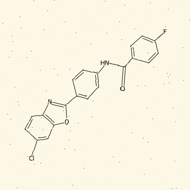 O=C(Nc1ccc(-c2nc3ccc(Cl)cc3o2)cc1)c1ccc(F)cc1